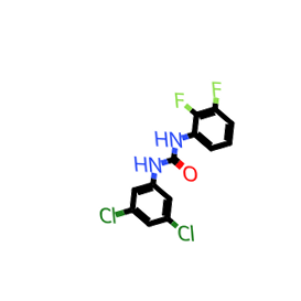 O=C(Nc1cc(Cl)cc(Cl)c1)Nc1cccc(F)c1F